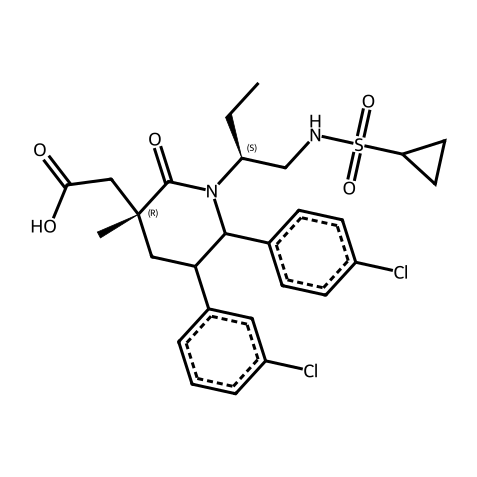 CC[C@@H](CNS(=O)(=O)C1CC1)N1C(=O)[C@@](C)(CC(=O)O)CC(c2cccc(Cl)c2)C1c1ccc(Cl)cc1